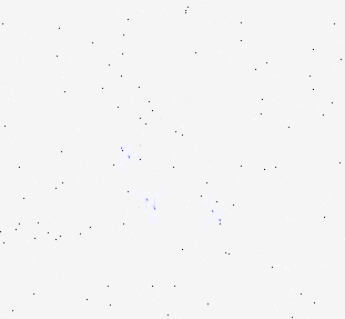 c1cn2cnc(C3CC3)c2cn1